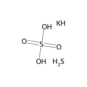 O=S(=O)(O)O.S.[KH]